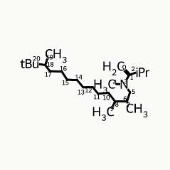 C=C(C(C)C)N(C)CC(C)C(C)CCCCCCCCC(C)C(C)(C)C